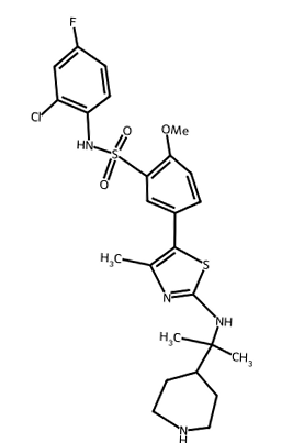 COc1ccc(-c2sc(NC(C)(C)C3CCNCC3)nc2C)cc1S(=O)(=O)Nc1ccc(F)cc1Cl